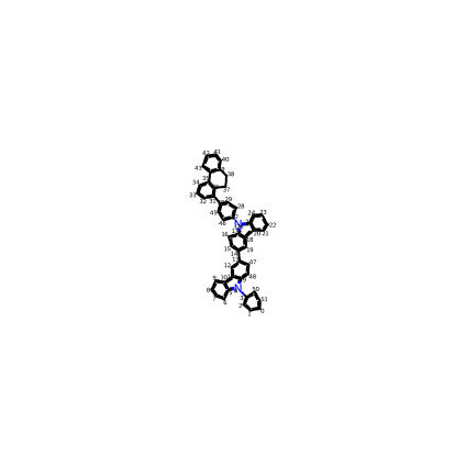 c1ccc(-n2c3ccccc3c3cc(-c4ccc5c(c4)c4ccccc4n5-c4ccc(-c5cccc6c5CCc5ccccc5-6)cc4)ccc32)cc1